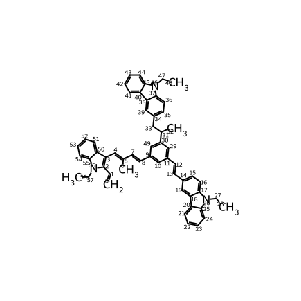 C=Cc1c(/C=C(C)/C=C/c2cc(/C=C/c3ccc4c(c3)c3ccccc3n4CC)cc(C(C)Cc3ccc4c(c3)c3ccccc3n4CC)c2)c2ccccc2n1CC